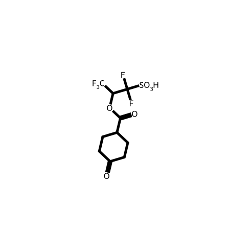 O=C1CCC(C(=O)OC(C(F)(F)F)C(F)(F)S(=O)(=O)O)CC1